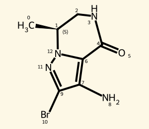 C[C@H]1CNC(=O)c2c(N)c(Br)nn21